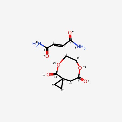 NC(=O)/C=C/C(N)=O.O=C1CC2(CC2)C(=O)OCCO1